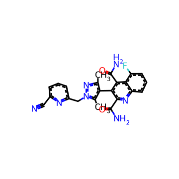 Cc1nn(Cc2cccc(C#N)n2)c(C)c1-c1c(C(N)=O)nc2cccc(F)c2c1C(N)=O